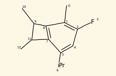 Cc1c(F)cc(C(C)C)c2c1C(C)C2C